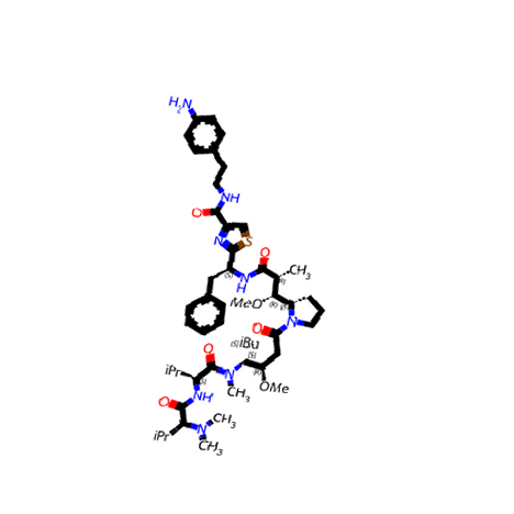 CC[C@H](C)[C@@H]([C@@H](CC(=O)N1CCC[C@H]1[C@H](OC)[C@@H](C)C(=O)N[C@@H](Cc1ccccc1)c1nc(C(=O)NCCc2ccc(N)cc2)cs1)OC)N(C)C(=O)[C@@H](NC(=O)C(C(C)C)N(C)C)C(C)C